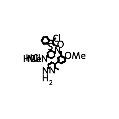 CNC1CCC(N(Cc2cc(-c3ccc(N)nc3C)ccc2OC)C(=O)c2sc3ccccc3c2Cl)CC1.Cl.Cl